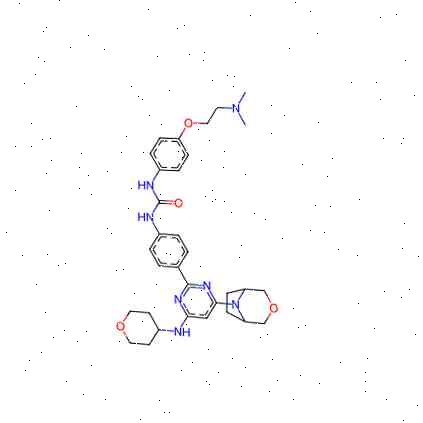 CN(C)CCOc1ccc(NC(=O)Nc2ccc(-c3nc(NC4CCOCC4)cc(N4C5CCC4COC5)n3)cc2)cc1